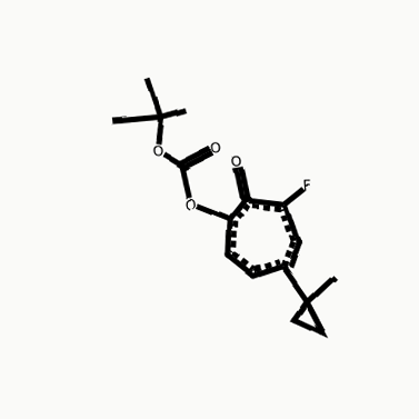 CC(C)(C)OC(=O)Oc1ccc(C2(C)CC2)cc(F)c1=O